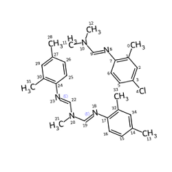 Cc1cc(Cl)ccc1N=CN(C)C.Cc1ccc(/N=C/N(C)/C=N/c2ccc(C)cc2C)c(C)c1